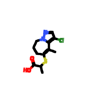 CC1=C(SC(C)C(=O)O)CCCn2ncc(Cl)c21